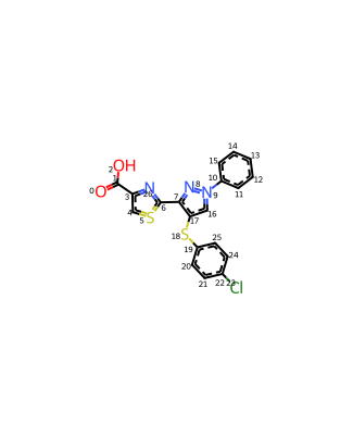 O=C(O)c1csc(-c2nn(-c3ccccc3)cc2Sc2ccc(Cl)cc2)n1